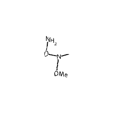 CON(C)ON